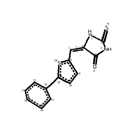 O=C1NC(=S)N/C1=C/c1ccc(-c2ccccc2)s1